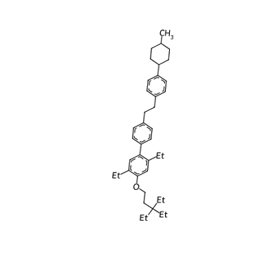 CCc1cc(-c2ccc(CCc3ccc(C4CCC(C)CC4)cc3)cc2)c(CC)cc1OCCC(CC)(CC)CC